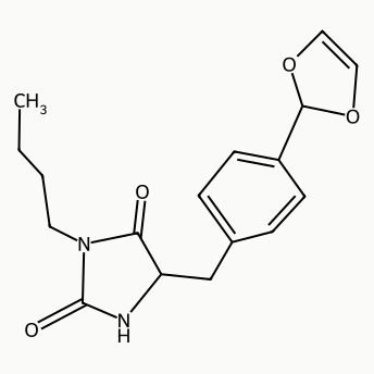 CCCCN1C(=O)NC(Cc2ccc(C3OC=CO3)cc2)C1=O